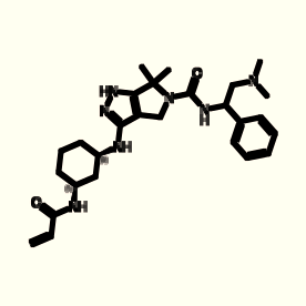 C=CC(=O)N[C@H]1CCC[C@@H](Nc2n[nH]c3c2CN(C(=O)NC(CN(C)C)c2ccccc2)C3(C)C)C1